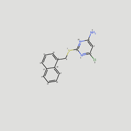 Nc1cc(Cl)nc(SCc2cccc3ccccc23)n1